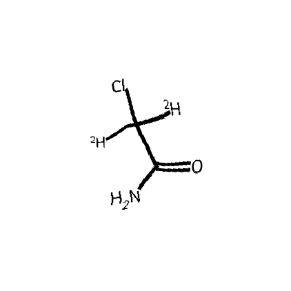 [2H]C([2H])(Cl)C(N)=O